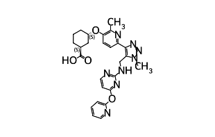 Cc1nc(-c2nnn(C)c2CNc2nccc(Oc3ccccn3)n2)ccc1O[C@H]1CCC[C@H](C(=O)O)C1